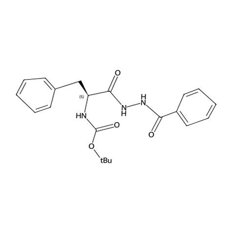 CC(C)(C)OC(=O)N[C@@H](Cc1ccccc1)C(=O)NNC(=O)c1ccccc1